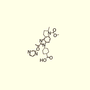 COC(=O)N1c2ccc3c(nc([C@H](C)Oc4cnccn4)n3C3CCC(C(=O)O)CC3)c2CCC1C